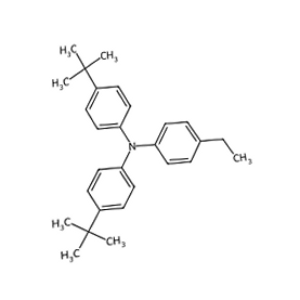 CCc1ccc(N(c2ccc(C(C)(C)C)cc2)c2ccc(C(C)(C)C)cc2)cc1